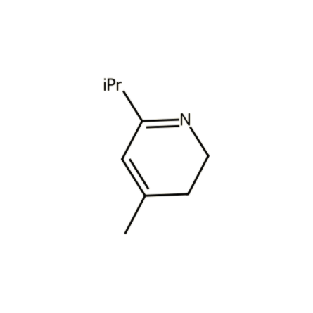 CC1=CC(C(C)C)=NCC1